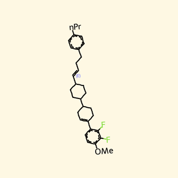 CCCc1ccc(CC/C=C/C2CCC(C3CC=C(c4ccc(OC)c(F)c4F)CC3)CC2)cc1